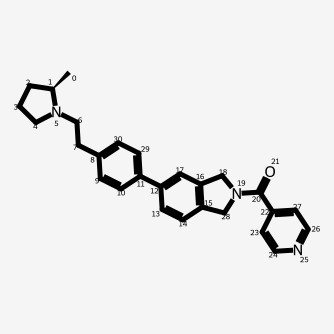 C[C@@H]1CCCN1CCc1ccc(-c2ccc3c(c2)CN(C(=O)c2ccncc2)C3)cc1